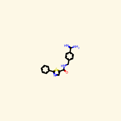 N=C(N)c1ccc(CNC(=O)c2cnc(-c3ccccc3)s2)cc1